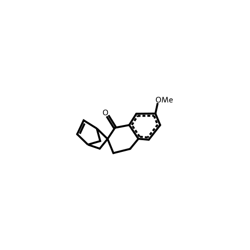 COc1ccc2c(c1)C(=O)C1(CC2)CC2C=CC1C2